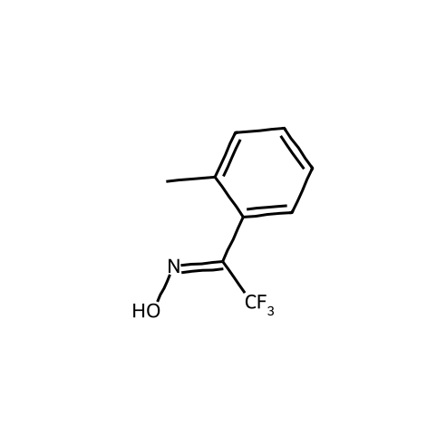 Cc1ccccc1C(=NO)C(F)(F)F